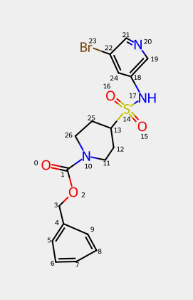 O=C(OCc1ccccc1)N1CCC(S(=O)(=O)Nc2cncc(Br)c2)CC1